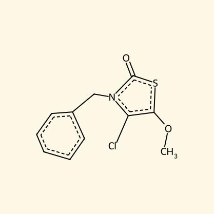 COc1sc(=O)n(Cc2ccccc2)c1Cl